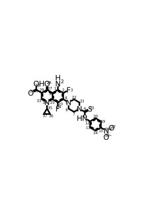 Nc1c(F)c(N2CCN(C(=S)Nc3ccc([N+](=O)[O-])cc3)CC2)c(F)c2c1c(=O)c(C(=O)O)cn2C1CC1